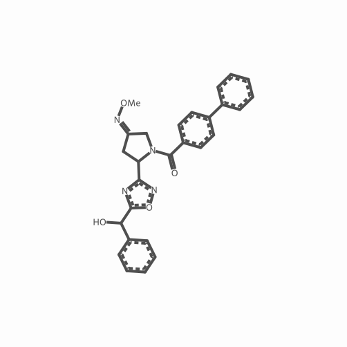 CON=C1CC(c2noc(C(O)c3ccccc3)n2)N(C(=O)c2ccc(-c3ccccc3)cc2)C1